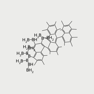 BBB(B)B(B(B)B)c1c(C)c(C)c(C)c2c(-c3c(C)c(C)c(C)c4c(-c5c(C)c(C)c(C)c6c(C)c(C)c(C)c(C)c56)c5c(C)c(C)c(C)c(C)c5c(C)c34)c(B(B)B)c(BB)c(B)c12